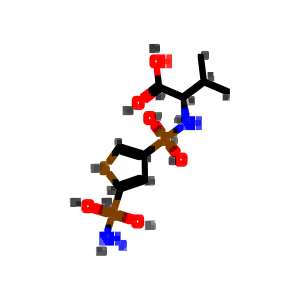 CC(C)[C@@H](NS(=O)(=O)c1csc(S(N)(=O)=O)c1)C(=O)O